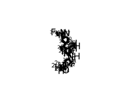 [2H]C([2H])([2H])Oc1nc(N[C@@H]2CCN(C(=O)C([2H])([2H])[2H])CC2(F)F)nn2ccc(-c3ccc4nnn(CCF)c4c3)c12